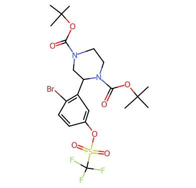 CC(C)(C)OC(=O)N1CCN(C(=O)OC(C)(C)C)C(c2cc(OS(=O)(=O)C(F)(F)F)ccc2Br)C1